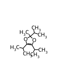 CC(C)C1=C(C(C)C)OC(C)(C(C)C)O1